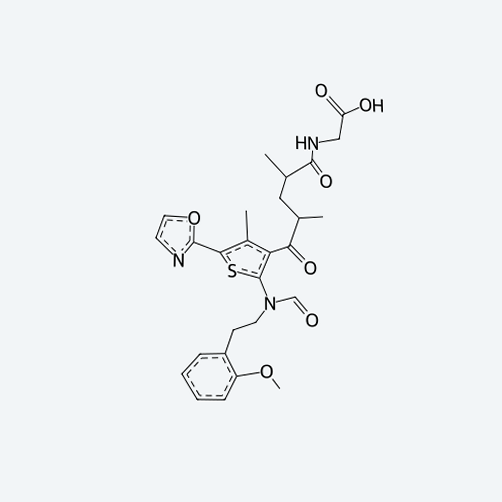 COc1ccccc1CCN(C=O)c1sc(-c2ncco2)c(C)c1C(=O)C(C)CC(C)C(=O)NCC(=O)O